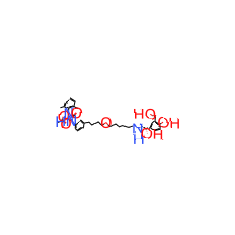 CC(=O)ON(C(=O)Nc1cccc(CCCCOCCCCCCNC[C@@H](O)c2ccc(O)c(CO)c2)c1)c1c(C)cccc1C